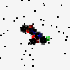 O=c1c(OC2CCCC2)c(N2CCN(S(=O)(=O)CC3CCCC3)CC2)cnn1-c1cccc(Cl)c1